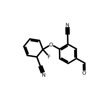 N#Cc1cc(C=O)ccc1OC1(F)C=CC=CC1C#N